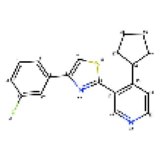 Fc1cccc(-c2csc(-c3cnccc3C3CCCC3)n2)c1